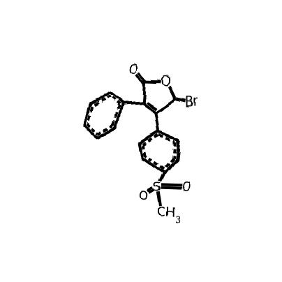 CS(=O)(=O)c1ccc(C2=C(c3ccccc3)C(=O)OC2Br)cc1